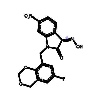 O=C1/C(=N\O)c2ccc([N+](=O)[O-])cc2N1Cc1cc(F)cc2c1OCOC2